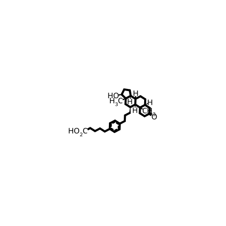 C[C@]12CCC(=O)C[C@@H]1CC[C@@H]1[C@@H]2[C@@H](CCCc2ccc(CCCCC(=O)O)cc2)C[C@]2(C)[C@@H](O)CC[C@@H]12